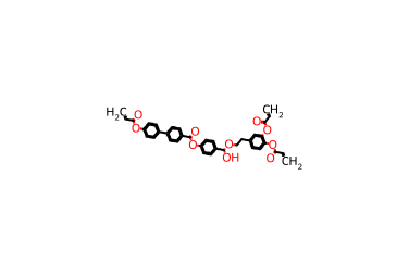 C=CC(=O)Oc1ccc(-c2ccc(C(=O)Oc3ccc(C(O)OCCc4ccc(OC(=O)C=C)c(OC(=O)C=C)c4)cc3)cc2)cc1